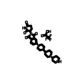 O=C(O)C(F)(F)F.O=C1CCC(N2C(=O)c3ccc(N4CCC(C5CCN(C6CCNCC6)CC5)CC4)cc3C2=O)C(=O)N1